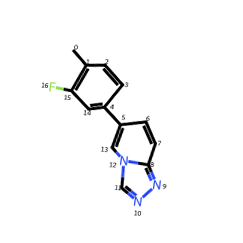 Cc1ccc(-c2ccc3nncn3c2)cc1F